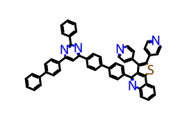 c1ccc(-c2ccc(-c3cc(-c4ccc(-c5ccc(-c6nc7ccccc7c7sc(-c8ccncc8)c(-c8ccncc8)c67)cc5)cc4)nc(-c4ccccc4)n3)cc2)cc1